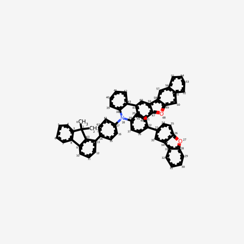 CC1(C)c2ccccc2-c2cccc(-c3ccc(N(c4ccc(-c5ccc6oc7ccccc7c6c5)cc4)c4ccccc4-c4ccc5oc6cc7ccccc7cc6c5c4)cc3)c21